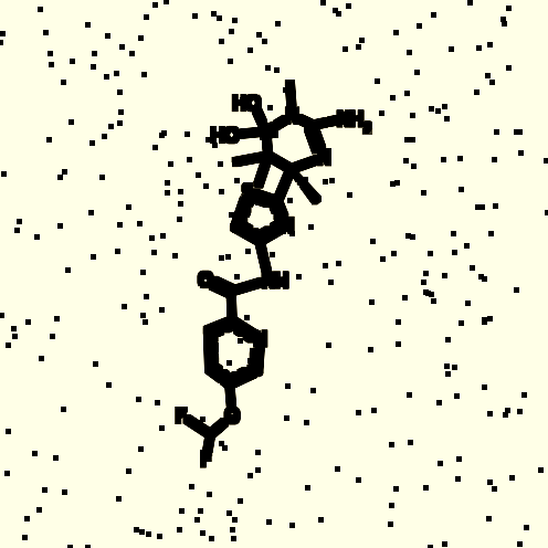 CN1C(N)=N[C@](C)(c2nc(NC(=O)c3ccc(OC(F)F)cn3)cs2)C(C)(C)S1(O)O